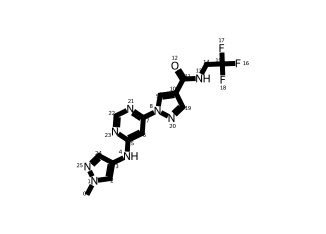 Cn1cc(Nc2cc(-n3cc(C(=O)NCC(F)(F)F)cn3)ncn2)cn1